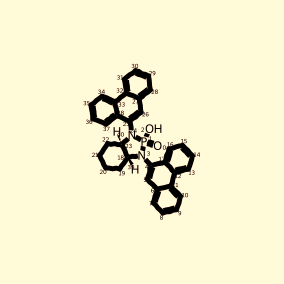 O=P1(O)N(c2cc3ccccc3c3ccccc23)[C@@H]2CCCC[C@H]2N1c1cc2ccccc2c2ccccc12